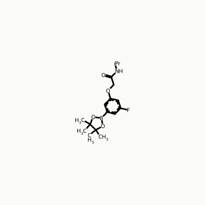 CC(C)NC(=O)COc1cc(F)cc(B2OC(C)(C)C(C)(C)O2)c1